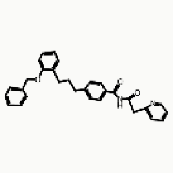 O=C(Cc1ccccn1)NC(=O)c1ccc(CCCc2ccccc2OCc2ccccc2)cc1